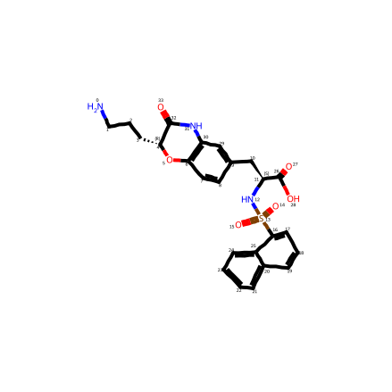 NCCC[C@H]1Oc2ccc(C[C@H](NS(=O)(=O)c3cccc4ccccc34)C(=O)O)cc2NC1=O